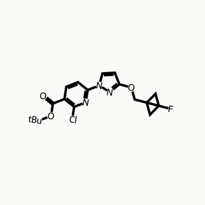 CC(C)(C)OC(=O)c1ccc(-n2ccc(OCC34CC3(F)C4)n2)nc1Cl